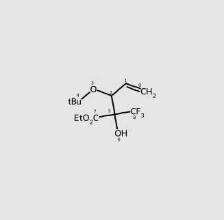 C=CC(OC(C)(C)C)C(O)(C(=O)OCC)C(F)(F)F